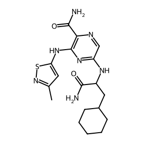 Cc1cc(Nc2nc(NC(CC3CCCCC3)C(N)=O)cnc2C(N)=O)sn1